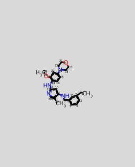 CCc1cccc(CNc2cc(Nc3ccc(N4CCOCC4)cc3OC)ncc2C)c1